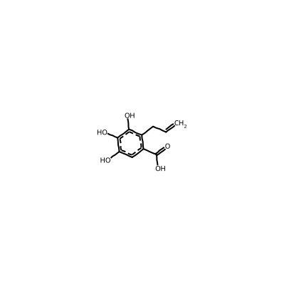 C=CCc1c(C(=O)O)cc(O)c(O)c1O